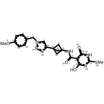 COc1ccc(Cn2cc(C34CC(NC(=O)c5c(O)nc(SC)[nH]c5=O)(C3)C4)nn2)cc1